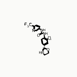 O=C(Nc1ccc(C(F)(F)F)nc1)Nc1ccc([C@H]2CNCCO2)cc1Cl